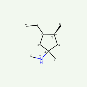 CCC1CC(C)(NC)C[C@@H]1C